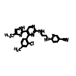 Cc1ccc(-c2nc(NCCNc3ccc(C#N)cn3)ncc2-c2nc(C)c[nH]2)c(Cl)c1